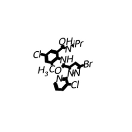 Cc1cc(Cl)cc(C(=O)NC(C)C)c1NC(=O)C1CC(Br)=NN1c1ncccc1Cl